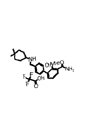 COc1c(C(N)=O)cccc1-c1ccc(CNC2CCC(C)(C)CC2)cc1.O=C(O)C(F)(F)F